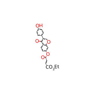 CCOC(=O)C=CC(=O)Oc1ccc2c(=O)c(-c3ccc(O)cc3)coc2c1